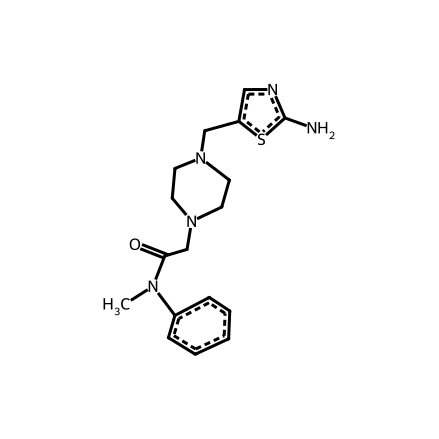 CN(C(=O)CN1CCN(Cc2cnc(N)s2)CC1)c1ccccc1